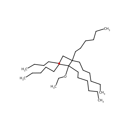 CCCCCCC(CCCCCC)(CCCCCC)C(CCCCCC)(CCCCCC)OCC